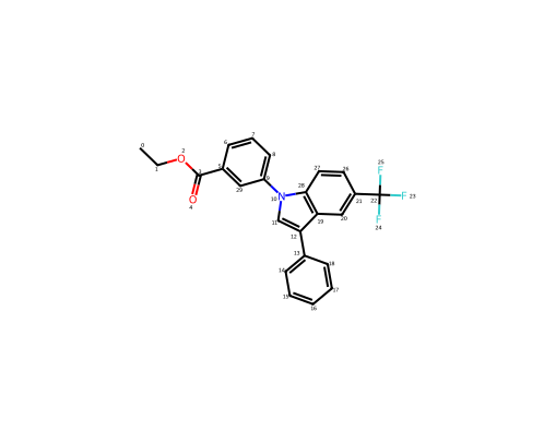 CCOC(=O)c1cccc(-n2cc(-c3ccccc3)c3cc(C(F)(F)F)ccc32)c1